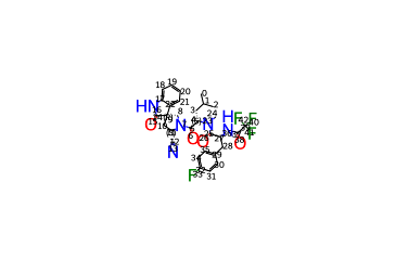 CC(C)C[C@@H](C(=O)N1C[C@]2(C[C@H]1C#N)C(=O)Nc1ccccc12)N(C)C(=O)C(Cc1ccc(F)cc1)NC(=O)C(F)(F)F